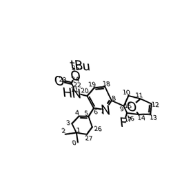 CC1(C)CC=C(c2nc(C3CC4C=CC(O4)C3F)ccc2NC(=O)OC(C)(C)C)CC1